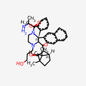 COc1ccccc1[C@@]1(c2ccc3ccccc3c2)C(C(=O)C2C(=O)C3(C)CC[C@H]2C3(C)C)N(CCCO)CCN1C(=O)C(C)N